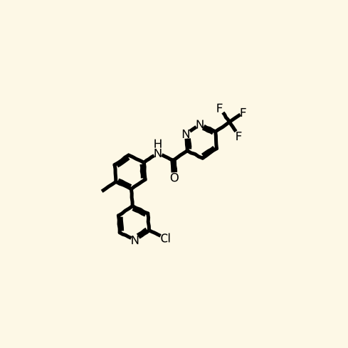 Cc1ccc(NC(=O)c2ccc(C(F)(F)F)nn2)cc1-c1ccnc(Cl)c1